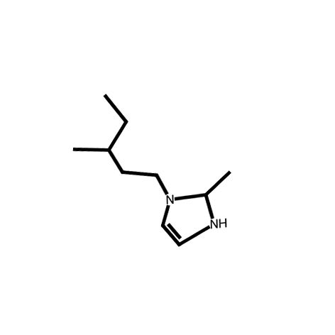 CCC(C)CCN1C=CNC1C